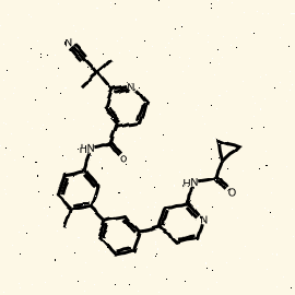 Cc1ccc(NC(=O)c2ccnc(C(C)(C)C#N)c2)cc1-c1cccc(-c2ccnc(NC(=O)C3CC3)c2)c1